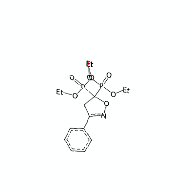 CCOP(=O)(OCC)C1(P(=O)(OCC)OCC)CC(c2ccccc2)=NO1